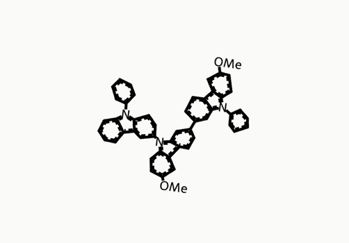 COc1ccc2c(c1)c1ccc(-c3ccc4c5cc(OC)ccc5n(-c5ccc6c(c5)c5ccccc5n6-c5ccccc5)c4c3)cc1n2-c1ccccc1